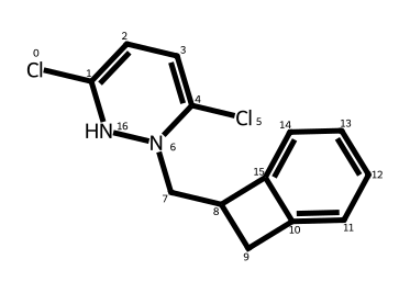 ClC1=CC=C(Cl)N(CC2Cc3ccccc32)N1